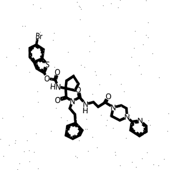 O=C(NC1(C(=O)N(CCc2ccccc2)C(=O)NCCC(=O)N2CCN(c3ccccn3)CC2)CCCC1)Oc1cc2ccc(Br)cc2s1